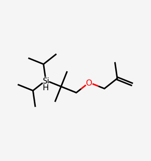 C=C(C)COCC(C)(C)[SiH](C(C)C)C(C)C